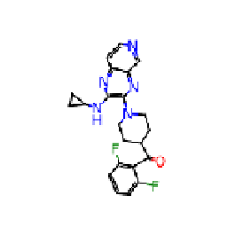 O=C(c1c(F)cccc1F)C1CCN(c2nc3cnccc3nc2NC2CC2)CC1